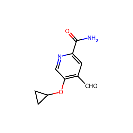 NC(=O)c1cc(C=O)c(OC2CC2)cn1